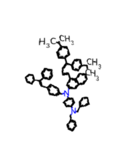 CC(C)c1ccc(C(=C/C=C/c2cc(N(c3ccc(C=C(c4ccccc4)c4ccccc4)cc3)c3ccc(N(Cc4ccccc4)Cc4ccccc4)cc3)cc3ccccc23)c2ccc(C(C)C)cc2)cc1